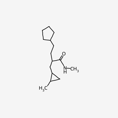 CNC(=O)C(CCC1CCCC1)CC1CC1C